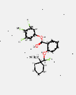 CCCCCCC1(C(F)Oc2ccccc2C(=O)Oc2cc(F)c(F)c(F)c2)CCCCC1